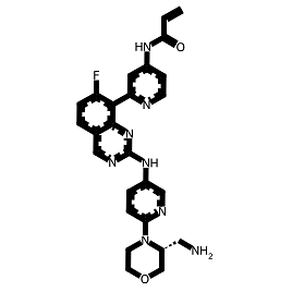 C=CC(=O)Nc1ccnc(-c2c(F)ccc3cnc(Nc4ccc(N5CCOC[C@H]5CN)nc4)nc23)c1